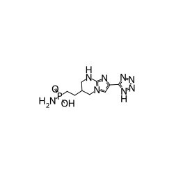 NP(=O)(O)CCC1CNc2nc(-c3nnn[nH]3)cn2C1